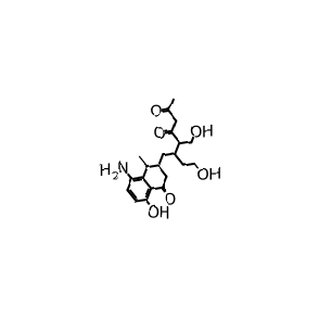 CC(=O)CC(=O)C(CO)C(CCO)CC1CC(=O)c2c(O)ccc(N)c2C1C